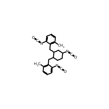 Cc1cccc(N=C=O)c1CC1CCC(N=C=O)CC1Cc1c(C)cccc1N=C=O